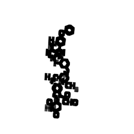 CC1CN(CC2CCC(n3nc(-c4ccc(Oc5ccccc5)cc4)c4c(N)ncnc43)C(F)C2)CC(C)N1c1cc2c(cc1F)CN(C1CCC(=O)NC1=O)C2C(=O)C=O